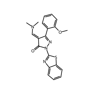 COc1ccccc1C1=NN(c2nc3ccccc3s2)C(=O)/C1=C/N(C)C